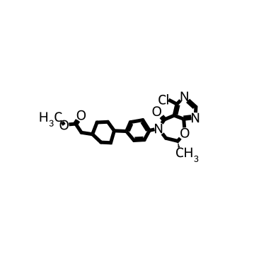 COC(=O)CC1CCC(c2ccc(N3C[C@@H](C)Oc4ncnc(Cl)c4C3=O)cc2)CC1